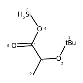 CC(OC(C)(C)C)C(=O)O[SiH3]